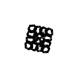 c1ccc([PH](c2ccccc2)(c2ccccc2)[Pt]([PH](c2ccccc2)(c2ccccc2)c2ccccc2)([PH](c2ccccc2)(c2ccccc2)c2ccccc2)[PH](c2ccccc2)(c2ccccc2)c2ccccc2)cc1